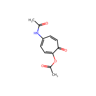 CC(=O)Nc1ccc(OC(C)=O)c(=O)cc1